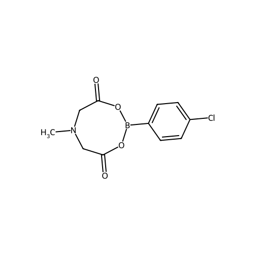 CN1CC(=O)OB(c2ccc(Cl)cc2)OC(=O)C1